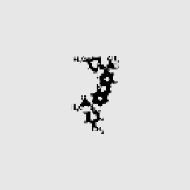 CC(=O)N(c1ccc2cc3ccc(N(C(C)=O)N4CCC(C)CC4)cc3nc2c1)N1CCC(C)CC1